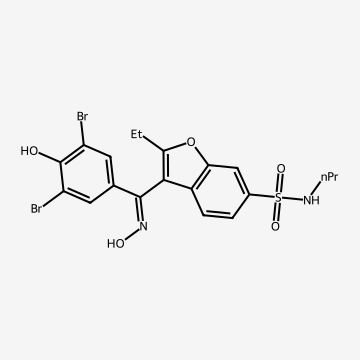 CCCNS(=O)(=O)c1ccc2c(C(=NO)c3cc(Br)c(O)c(Br)c3)c(CC)oc2c1